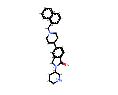 O=C1c2ccc(C3CCN(Cc4cccc5ccccc45)CC3)cc2CN1C1CCCNC1